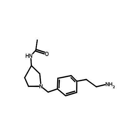 CC(=O)NC1CCN(Cc2ccc(CCN)cc2)C1